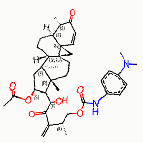 C=C(C(=O)[C@H](O)C1[C@@H](OC(C)=O)C[C@@]2(C)[C@@H]3CC[C@H]4[C@H](C)C(=O)C=C[C@@]45C[C@@]35CC[C@]12C)[C@@H](C)COC(=O)Nc1ccc(N(C)C)cc1